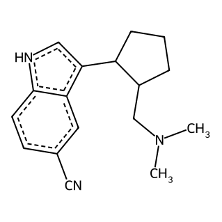 CN(C)CC1CCCC1c1c[nH]c2ccc(C#N)cc12